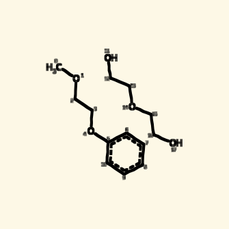 COCCOc1ccccc1.OCCOCCO